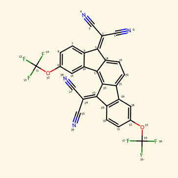 N#CC(C#N)=C1c2ccc(OC(F)(F)F)cc2-c2c1ccc1c2C(=C(C#N)C#N)c2ccc(OC(F)(F)F)cc2-1